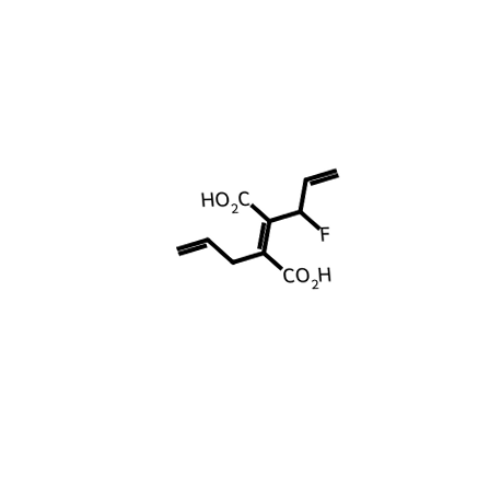 C=CC/C(C(=O)O)=C(\C(=O)O)C(F)C=C